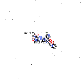 CCCn1c(=O)n(CCNC(C)=O)c(=O)c2[nH]c(-c3ccc(N(CCCN4CCCCC4=O)C(=O)c4ccc(F)nc4)nc3)nc21